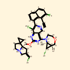 C#Cc1c(F)ccc2cccc(-c3ncc4c(N5CCOC[C@H]6[C@H](F)[C@H]65)nc(OC[C@]56C/C(=C/F)CN5CCC65CC5)nc4c3F)c12